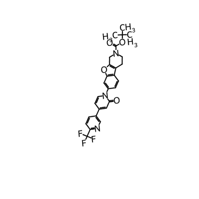 CC(C)(C)OC(=O)N1CCc2c(oc3cc(-n4ccc(-c5ccc(C(F)(F)F)nc5)cc4=O)ccc23)C1